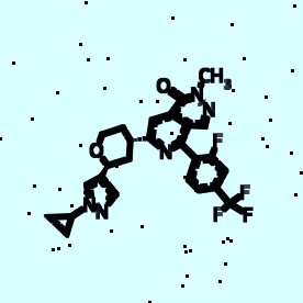 Cn1ncc2c(-c3ccc(C(F)(F)F)cc3F)nc([C@H]3CCO[C@H](c4cnn(C5CC5)c4)C3)cc2c1=O